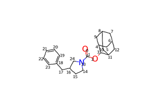 O=C(OC1C2CC3CC(C2)CC1C3)N1CCC(Cc2ccccc2)C1